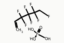 C=CC(F)(F)C(F)(F)C(F)(F)CF.O=P(O)(O)O